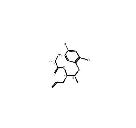 C=CC[C@@H](OC(=O)[C@H](C)N)[C@H](C)Oc1ccc(Cl)cc1Cl